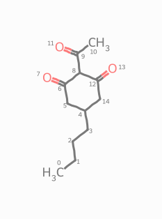 CCCCC1CC(=O)C(C(C)=O)C(=O)C1